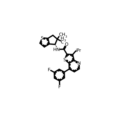 CC(C)c1c(C(=O)N[C@@H]2c3ccsc3CC2(C)C)sc2c(-c3cc(F)cc(F)c3)ccnc12